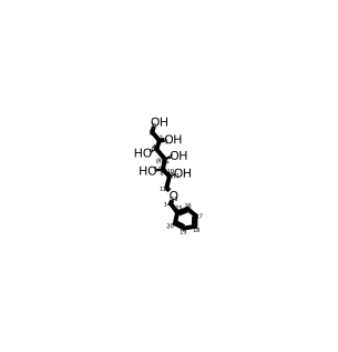 OCC(O)[C@@H](O)[C@@H](O)[C@H](O)[C@H](O)COCc1ccccc1